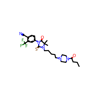 CCCC(=O)N1CCN(CCCCCN2C(=S)N(c3ccc(C#N)c(C(F)(F)F)c3)C(=O)C2(C)C)CC1